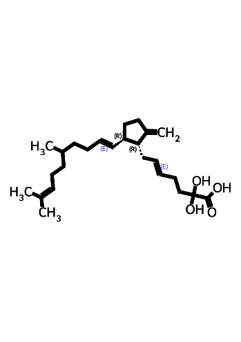 C=C1CC[C@H](/C=C/CCC(C)CCC=C(C)C)[C@H]1C/C=C/CCC(O)(O)C(=O)O